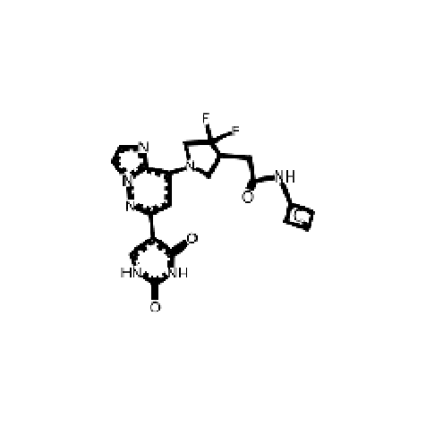 O=C(CC1CN(c2cc(-c3c[nH]c(=O)[nH]c3=O)nn3ccnc23)CC1(F)F)NC12CC(C1)C2